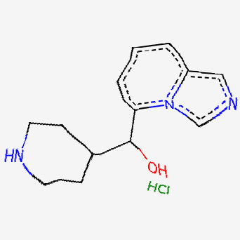 Cl.OC(c1cccc2cncn12)C1CCNCC1